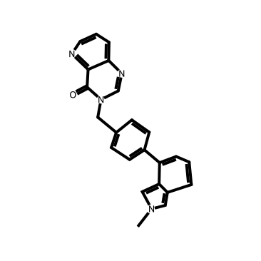 Cn1cc2cccc(-c3ccc(Cn4cnc5cccnc5c4=O)cc3)c2c1